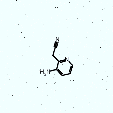 N#CCc1ncccc1N